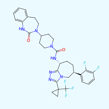 O=C(N[C@@H]1CC[C@@H](c2cccc(F)c2F)Cn2c1nnc2C1(C(F)(F)F)CC1)N1CCC(N2CCc3ccccc3NC2=O)CC1